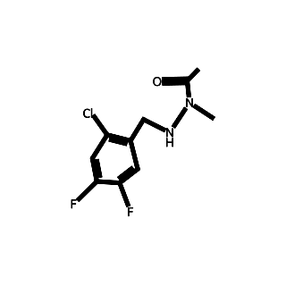 CC(=O)N(C)NCc1cc(F)c(F)cc1Cl